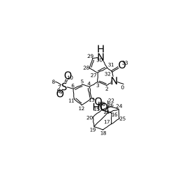 Cn1cc(-c2cc(S(C)(=O)=O)ccc2OC23CC4CC(C2)C(C)(O)C(C4)C3)c2cc[nH]c2c1=O